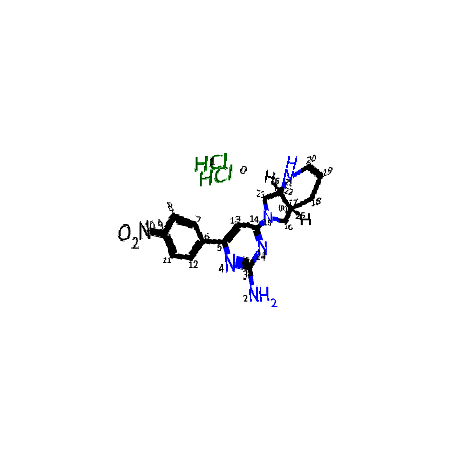 Cl.Cl.Nc1nc(-c2ccc([N+](=O)[O-])cc2)cc(N2C[C@H]3CCCN[C@H]3C2)n1